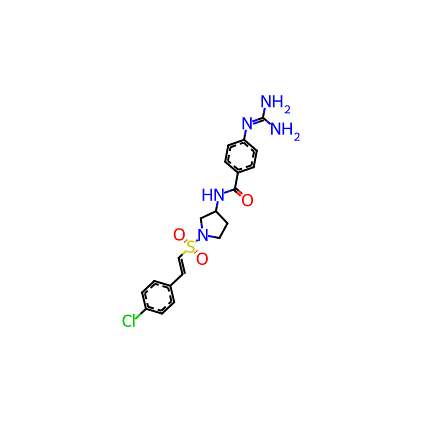 NC(N)=Nc1ccc(C(=O)NC2CCN(S(=O)(=O)C=Cc3ccc(Cl)cc3)C2)cc1